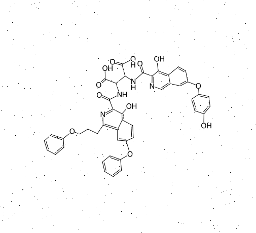 O=C(NC(C(=O)O)C(NC(=O)c1nc(CCCOc2ccccc2)c2cc(Oc3ccccc3)ccc2c1O)C(=O)O)c1ncc2cc(Oc3ccc(O)cc3)ccc2c1O